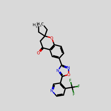 CCC1(CC)CC(=O)c2cc(-c3noc(-c4cnccc4C(F)(F)F)n3)ccc2O1